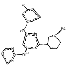 CC(=O)N1CCCC(c2nc(Nc3cccc(F)c3)cc(Nc3ncccn3)n2)C1